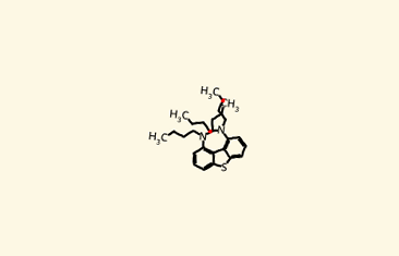 CCCCN(CCCC)c1cccc2sc3cccc(N(CCCC)CCCC)c3c12